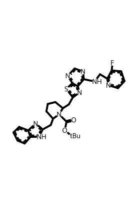 CC(C)(C)OC(=O)N1C(Cc2nc3ccccc3[nH]2)CCCC1Cc1nc2c(NCc3ncccc3F)ncnc2s1